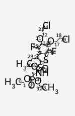 CCOP(=O)(CNS(=O)(=O)c1sc2c(F)c(OCCCl)c(OCCCl)c(F)c2c1CC)OCC